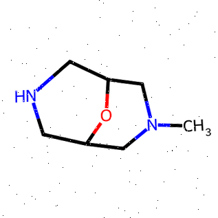 CN1CC2CNCC(C1)O2